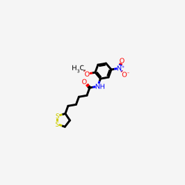 COc1ccc([N+](=O)[O-])cc1NC(=O)CCCCC1CCSS1